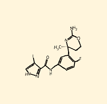 C[C@@]1(c2cc(NC(=O)c3n[nH]cc3I)ccc2F)CCOC(N)=N1